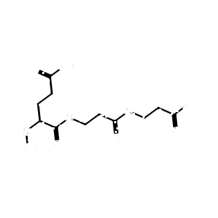 CNC(CCC(=O)O)C(=O)NCCC(=O)NCCC(C)=O